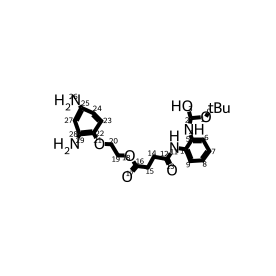 CC(C)(C)OC(O)Nc1ccccc1NC(=O)CCC(=O)OCCOc1ccc(N)cc1N